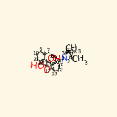 C[C@@]12CN(CC#CCc3ccccc3C(O)(C(=O)O)c3ccccc3)C[C@]1(C)C2